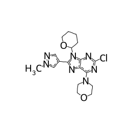 Cn1cc(-c2nc3c(N4CCOCC4)nc(Cl)nc3n2C2CCCCO2)cn1